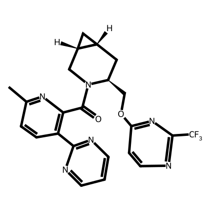 Cc1ccc(-c2ncccn2)c(C(=O)N2C[C@@H]3C[C@@H]3C[C@H]2COc2ccnc(C(F)(F)F)n2)n1